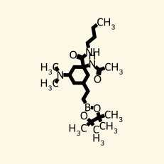 CCCCNC(=O)C1(NC(C)=O)CC(CCB2OC(C)(C)C(C)(C)O2)CC(N(C)C)C1